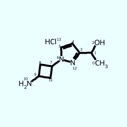 CC(O)c1ccn(C2CC(N)C2)n1.Cl